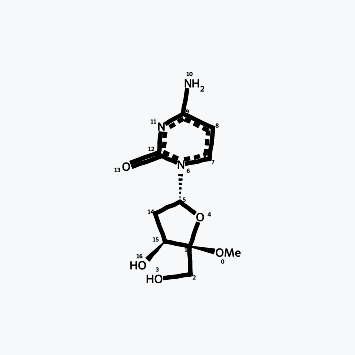 CO[C@]1(CO)O[C@@H](n2ccc(N)nc2=O)C[C@@H]1O